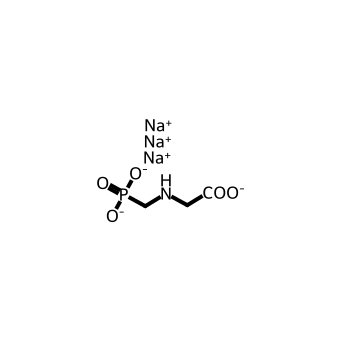 O=C([O-])CNCP(=O)([O-])[O-].[Na+].[Na+].[Na+]